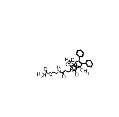 C[C@]12C(=O)[C@](C)(C(c3ccccc3)=C1c1ccccc1)C1(Br)C(=O)N(CCC(=O)NCCOC(N)=O)C(=O)C12